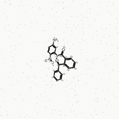 Nc1ccc([N+](=O)[O-])c(-n2nc(-c3ccccc3)c3ccccc3c2=O)c1